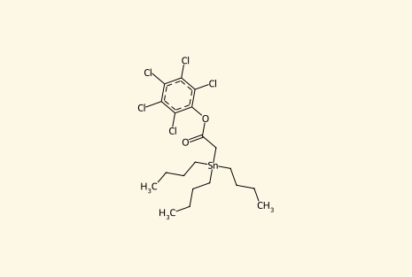 CCC[CH2][Sn]([CH2]CCC)([CH2]CCC)[CH2]C(=O)Oc1c(Cl)c(Cl)c(Cl)c(Cl)c1Cl